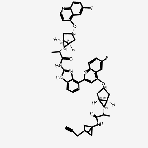 C#CCC12CC(NC(=O)C(C)[C@H]3[C@@H]4C[C@@H](Oc5cc(-c6cccc7[nH]c(NC(=O)C(C)[C@H]8[C@@H]9C[C@@H](Oc%10ccnc%11ccc(F)cc%10%11)C[C@@H]98)nc67)nc6ccc(F)cc56)C[C@@H]43)(C1)C2